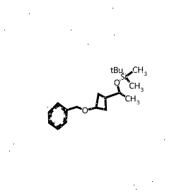 CC(O[Si](C)(C)C(C)(C)C)C1CC(OCc2ccccc2)C1